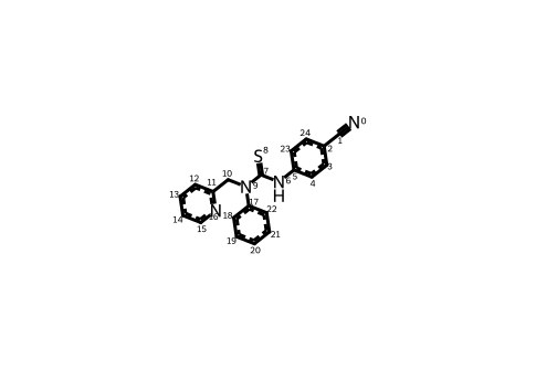 N#Cc1ccc(NC(=S)N(Cc2ccccn2)c2ccccc2)cc1